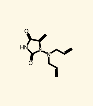 C=CCN(CC=C)N1C(=C)C(=O)NC1=O